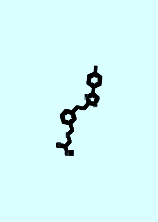 Cc1ccc(-c2csc(CCc3cccc(CSCC(=O)O)c3)n2)cc1